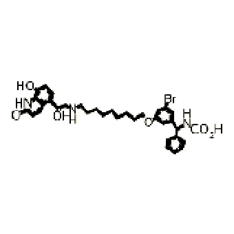 O=C(O)NC(c1ccccc1)c1cc(Br)cc(OCCCCCCCCCNC[C@@H](O)c2ccc(O)c3[nH]c(=O)ccc23)c1